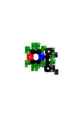 CC(F)(F)C(F)(N1C(F)(F)C(F)(F)OC(F)(F)C1(F)F)C(F)(F)F